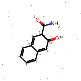 NC(=O)C1C=c2ccccc2=CC1=O